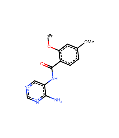 CCCOc1cc(OC)ccc1C(=O)Nc1cncnc1N